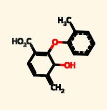 C=C1C=CC(C(=O)O)=C(Oc2ccccc2C)C1O